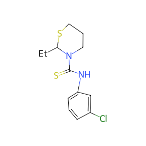 CCC1SCCCN1C(=S)Nc1cccc(Cl)c1